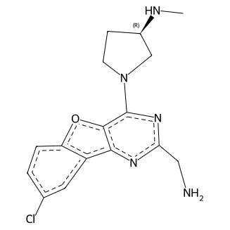 CN[C@@H]1CCN(c2nc(CN)nc3c2oc2ccc(Cl)cc23)C1